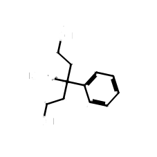 Cl.NC(CCO)(CCO)c1ccccc1